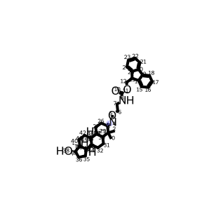 CC1(C)/C(=N/OCCNC(=O)OCC2c3ccccc3-c3ccccc32)CC[C@@]2(C)C1CC[C@H]1[C@@H]3CC[C@H](O)[C@@]3(C)CC[C@@H]12